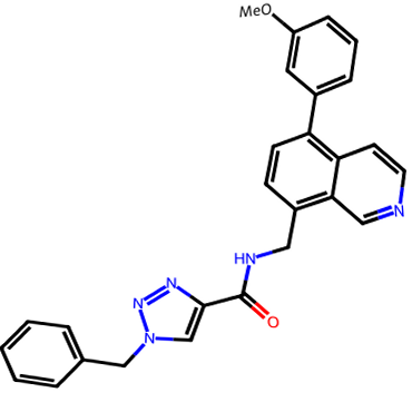 COc1cccc(-c2ccc(CNC(=O)c3cn(Cc4ccccc4)nn3)c3cnccc23)c1